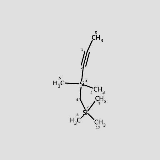 CC#C[Si](C)(C)C[Si](C)(C)C